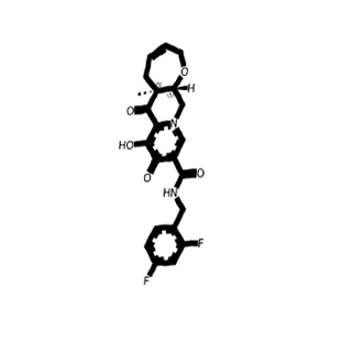 C[C@]12CC=CCO[C@@H]1Cn1cc(C(=O)NCc3ccc(F)cc3F)c(=O)c(O)c1C2=O